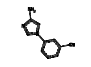 N#Cc1cccc(-n2cnc(N)c2)c1